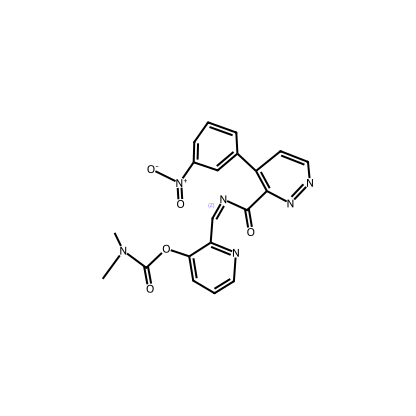 CN(C)C(=O)Oc1cccnc1/C=N\C(=O)c1nnccc1-c1cccc([N+](=O)[O-])c1